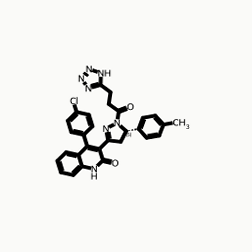 Cc1ccc([C@@H]2CC(c3c(-c4ccc(Cl)cc4)c4ccccc4[nH]c3=O)=NN2C(=O)CCc2nnn[nH]2)cc1